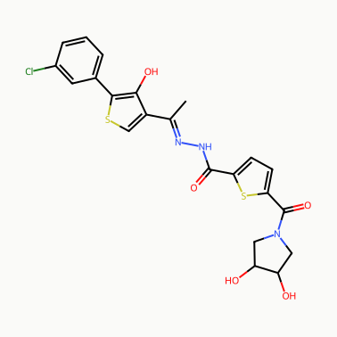 C/C(=N\NC(=O)c1ccc(C(=O)N2CC(O)C(O)C2)s1)c1csc(-c2cccc(Cl)c2)c1O